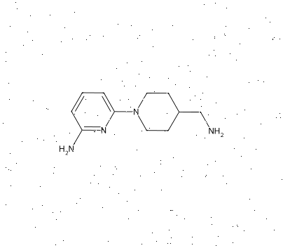 NCC1CCN(c2cccc(N)n2)CC1